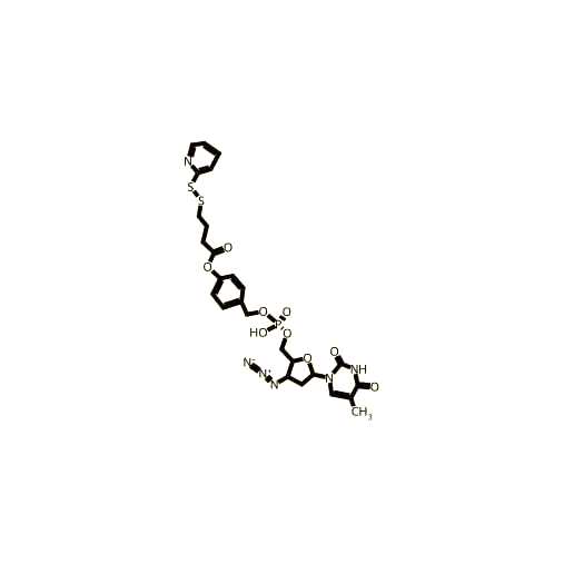 Cc1cn(C2CC(N=[N+]=[N-])C(COP(=O)(O)OCc3ccc(OC(=O)CCCSSc4ccccn4)cc3)O2)c(=O)[nH]c1=O